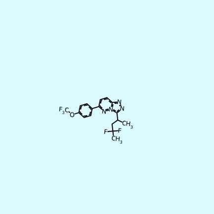 CC(CC(C)(F)F)c1nnc2ccc(-c3ccc(OC(F)(F)F)cc3)nn12